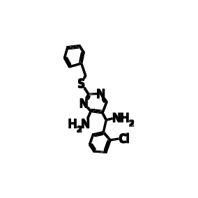 Nc1nc(SCc2ccccc2)ncc1C(N)c1ccccc1Cl